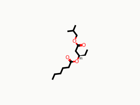 CCCCCC(=O)O[C@H](CC)CC(=O)OCC(C)C